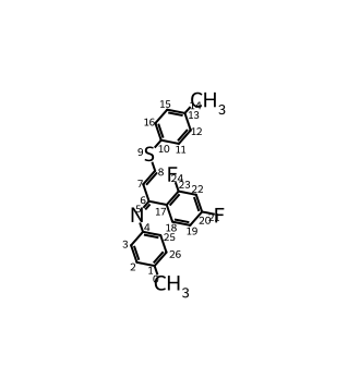 Cc1ccc(N=C(C=CSc2ccc(C)cc2)c2ccc(F)cc2F)cc1